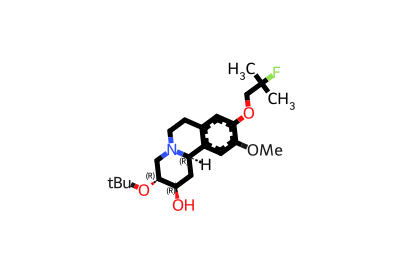 COc1cc2c(cc1OCC(C)(C)F)CCN1C[C@@H](OC(C)(C)C)[C@H](O)C[C@H]21